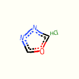 Cl.c1nnco1